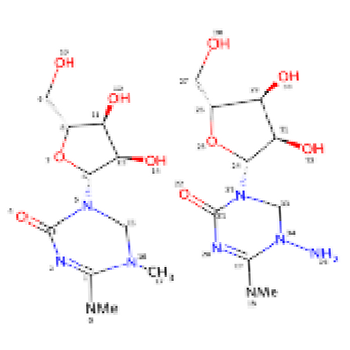 CNC1=NC(=O)N([C@@H]2O[C@H](CO)[C@@H](O)[C@H]2O)CN1C.CNC1=NC(=O)N([C@@H]2O[C@H](CO)[C@@H](O)[C@H]2O)CN1N